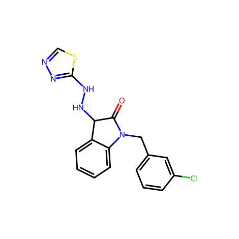 O=C1C(NNc2nncs2)c2ccccc2N1Cc1cccc(Cl)c1